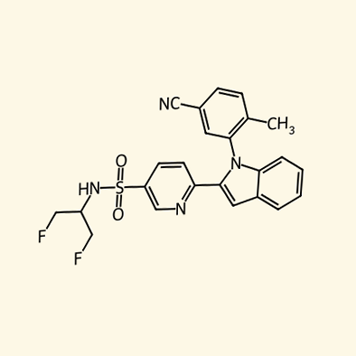 Cc1ccc(C#N)cc1-n1c(-c2ccc(S(=O)(=O)NC(CF)CF)cn2)cc2ccccc21